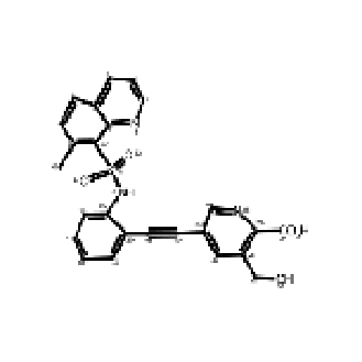 Cc1ccc2cccnc2c1S(=O)(=O)Nc1ccccc1C#Cc1cnc(C(=O)O)c(CO)c1